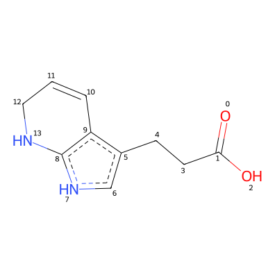 O=C(O)CCc1c[nH]c2c1C=CCN2